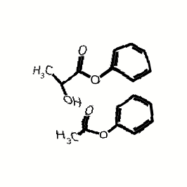 CC(=O)Oc1ccccc1.CC(O)C(=O)Oc1ccccc1